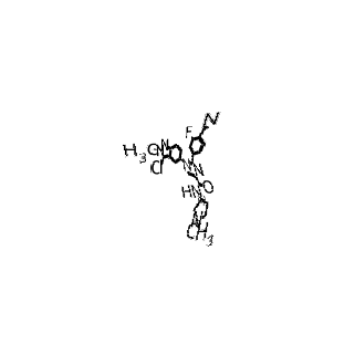 CN1CC[C@H](NC(=O)c2cn(-c3ccc4nn(C)c(Cl)c4c3)c(-c3ccc(C#N)c(F)c3)n2)C1